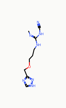 CN=C(NC#N)NCCCOCc1nc[nH]n1